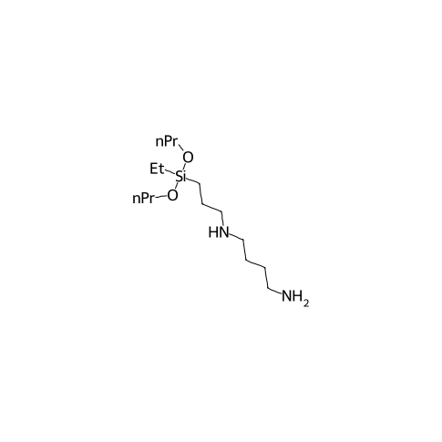 CCCO[Si](CC)(CCCNCCCCN)OCCC